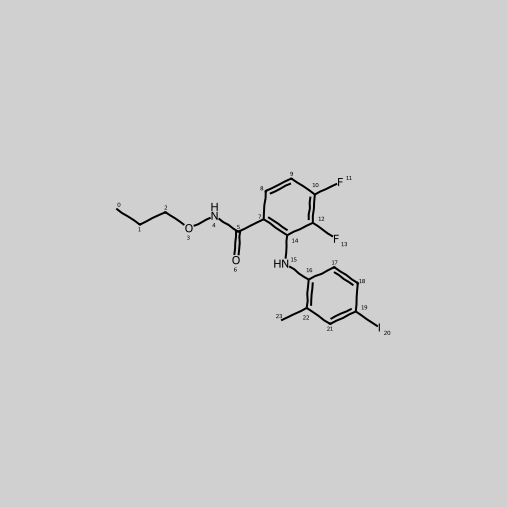 CCCONC(=O)c1ccc(F)c(F)c1Nc1ccc(I)cc1C